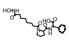 O=C(CCCCCCC(=O)N1CCCC1C(=O)N[C@H](C(=O)O)c1ccccc1)NO